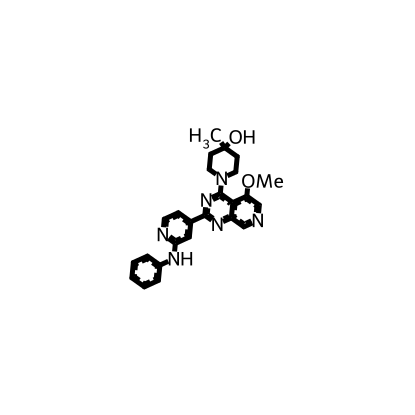 COc1cncc2nc(-c3ccnc(Nc4ccccc4)c3)nc(N3CCC(C)(O)CC3)c12